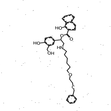 O=C(OC(CNCCCCCCOCCCCc1ccccc1)c1ccc(O)c(CO)c1)c1ccc2ccccc2c1O